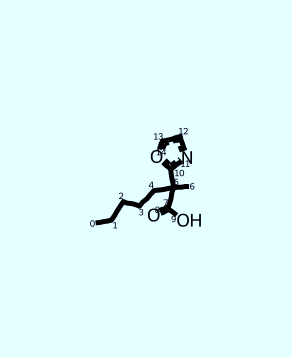 CCCCCC(C)(C(=O)O)c1ncco1